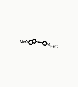 CCCCCOc1ccc(C#Cc2ccc3cc(OC)ccc3c2)cc1